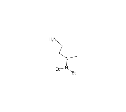 CCN(CC)N(C)CCN